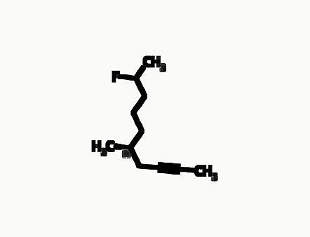 CC#CC[C@@H](C)CCCC(C)F